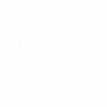 CC(C)Oc1ccc(-c2nc(-c3cccc4c3CCC4N3CC[C@H](N)C3)no2)cc1C#N